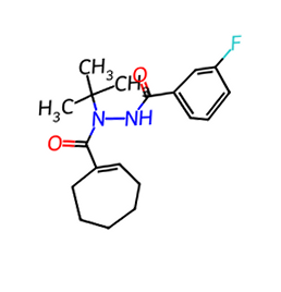 CC(C)(C)N(NC(=O)c1cccc(F)c1)C(=O)C1=CCCCCC1